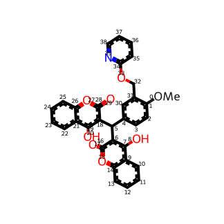 COc1ccc(C(c2c(O)c3ccccc3oc2=O)c2c(O)c3ccccc3oc2=O)cc1COc1ccccn1